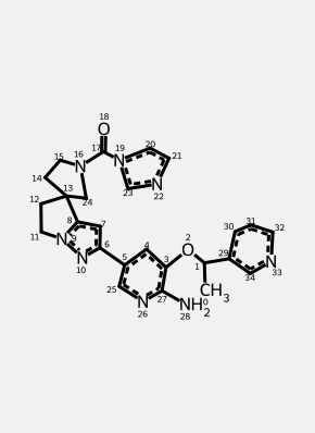 CC(Oc1cc(-c2cc3n(n2)CCC32CCN(C(=O)n3ccnc3)C2)cnc1N)c1cccnc1